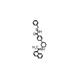 C[C@@H](NC1CCC[C@H](C2C=CC(C(=O)NOCc3ccccc3)=CC2)C1)c1cccc2ccccc12